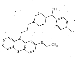 CCSc1ccc2c(c1)N(CCCN1CCC(C(O)c3ccc(F)cc3)CC1)c1ccccc1S2